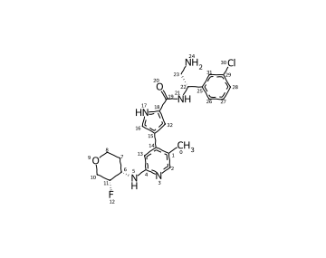 Cc1cnc(N[C@H]2CCOC[C@H]2F)cc1-c1c[nH]c(C(=O)N[C@H](CN)c2cccc(Cl)c2)c1